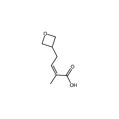 CC(=CCC1COC1)C(=O)O